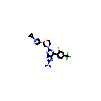 C[C@@H]1CN(c2nc(-c3ccc(C(F)(F)F)cc3F)c3nc(N(C)C)[nH]c3n2)C[C@H](c2cnn(C3CC3)c2)O1